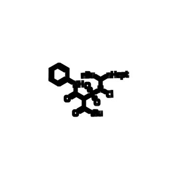 CCCCCCCC(CCCC)N(Cl)S(=O)(=O)C(C(=O)Nc1ccccc1)C(=O)C(C)(C)C